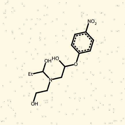 CCC(O)N(CCO)CC(O)Oc1ccc([N+](=O)[O-])cc1